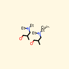 CCN(CC)CC(C)C[O-].CCN(CC)CC(C)C[O-].[Cu+2]